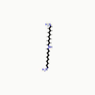 NCCCCCCCCCCNCCCCCCCCCCN